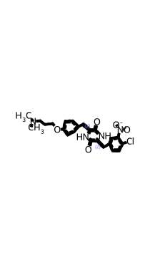 CN(C)CCCOc1ccc(/C=c2\[nH]c(=O)/c(=C/c3ccc(Cl)c([N+](=O)[O-])c3)[nH]c2=O)cc1